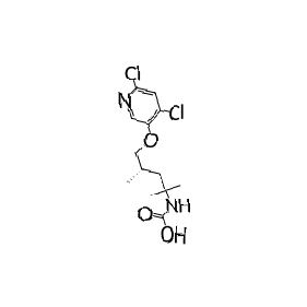 C[C@H](COc1cnc(Cl)cc1Cl)CC(C)(C)NC(=O)O